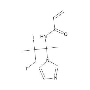 C=CC(=O)NC(C)(n1ccnc1)C(C)(I)CI